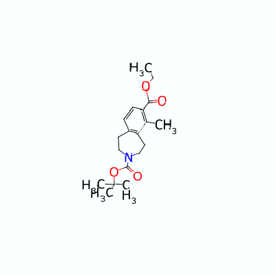 CCOC(=O)c1ccc2c(c1C)CCN(C(=O)OC(C)(C)C)CC2